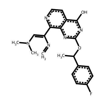 C=N/C(=C\N(C)C)c1nccc2c(O)nc(OC(C)c3ccc(F)cc3)nc12